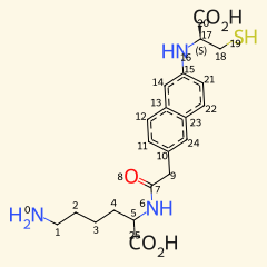 NCCCCC(NC(=O)Cc1ccc2cc(N[C@H](CS)C(=O)O)ccc2c1)C(=O)O